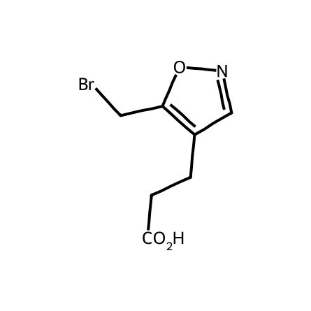 O=C(O)CCc1cnoc1CBr